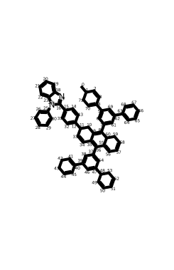 CC1C=CC(c2cc(C3=C4CC(c5ccc(-c6nc7ccccc7n6-c6ccccc6)cc5)C=CC4=C(c4cc(C5=CCCC=C5)cc(C5C=CC=CC5)c4)C4=CC=CCC43)cc(-c3ccccc3)c2)=CC1